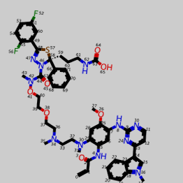 C=CC(=O)Nc1cc(Nc2nccc(-c3cn(C)c4ccccc34)n2)c(OC)cc1N(C)CCN(C)CCOCCON(C)C(=O)N1N=C(c2cc(F)ccc2F)S[C@@]1(CCCNC(=O)O)c1ccccc1